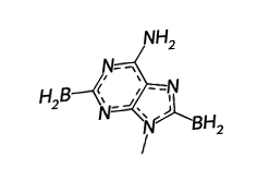 Bc1nc(N)c2nc(B)n(C)c2n1